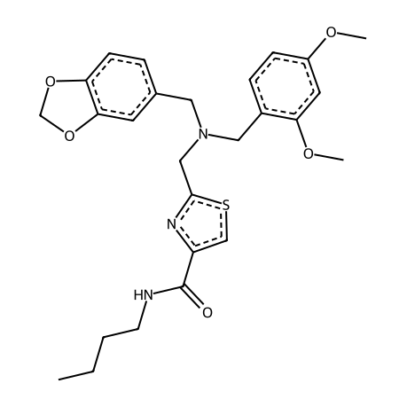 CCCCNC(=O)c1csc(CN(Cc2ccc3c(c2)OCO3)Cc2ccc(OC)cc2OC)n1